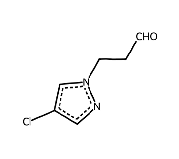 O=CCCn1cc(Cl)cn1